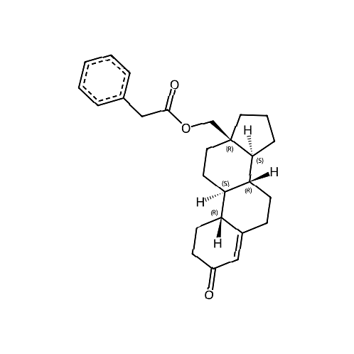 O=C1C=C2CC[C@@H]3[C@H](CC[C@]4(COC(=O)Cc5ccccc5)CCC[C@@H]34)[C@H]2CC1